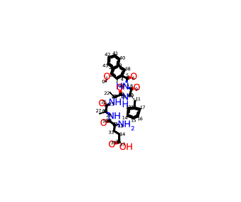 COc1cc(C(=O)NC(=O)[C@H](Cc2ccccc2)NC(=O)[C@H](C)NC(=O)[C@H](C)NC(=O)[C@@H](N)CCC(=O)O)cc2ccccc12